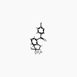 Cc1ccc(C(=O)c2cccc3c2CCC3(C)C(=O)O)cc1